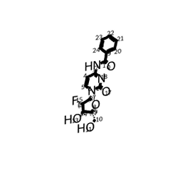 O=C(Nc1ccn([C@@H]2O[C@H](CO)[C@@H](O)[C@@H]2F)c(=O)n1)c1ccccc1